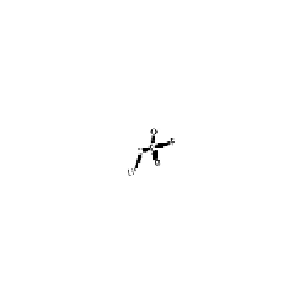 COP(=O)([O-])F.[Li+]